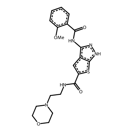 COc1ccccc1C(=O)Nc1n[nH]c2sc(C(=O)NCCN3CCOCC3)cc12